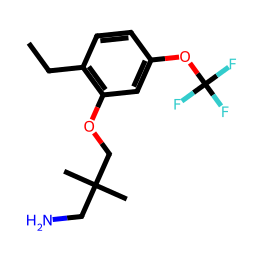 CCc1ccc(OC(F)(F)F)cc1OCC(C)(C)CN